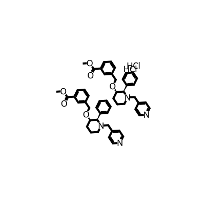 COC(=O)c1cccc(CO[C@@H]2CCCN(Cc3ccncc3)[C@@H]2c2ccccc2)c1.COC(=O)c1cccc(CO[C@@H]2CCCN(Cc3ccncc3)[C@@H]2c2ccccc2)c1.Cl.Cl